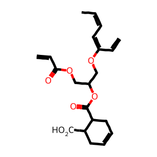 C=CC(=O)OCC(CO/C(C=C)=C/C=C\C)OC(=O)C1CC=CCC1C(=O)O